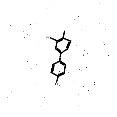 Cc1ccc(-c2ccc(C(F)(F)F)cc2)cc1C(C)C